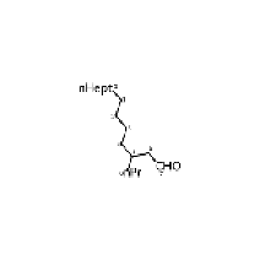 CCCCCCCCCCCC(CC=O)CCC